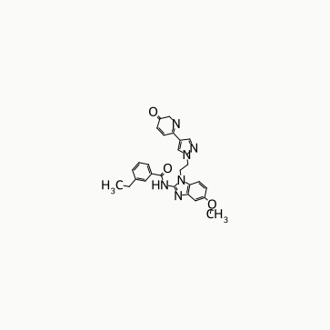 CCc1cccc(C(=O)Nc2nc3cc(OC)ccc3n2CCn2cc(C3=NCC(=O)C=C3)cn2)c1